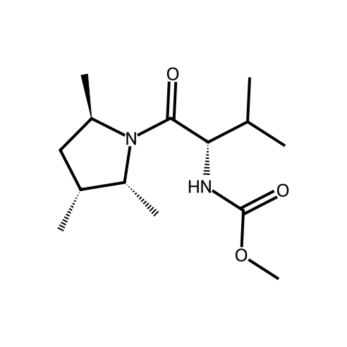 COC(=O)N[C@H](C(=O)N1[C@H](C)C[C@@H](C)[C@H]1C)C(C)C